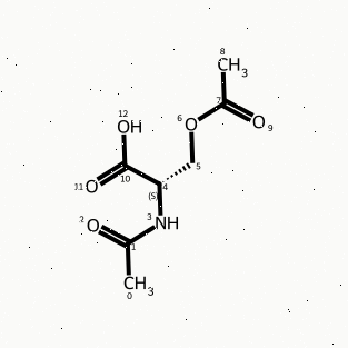 CC(=O)N[C@@H](COC(C)=O)C(=O)O